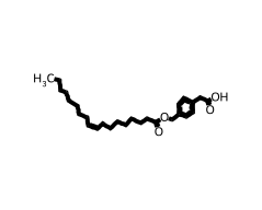 CCCCCCCC/C=C\CCCCCCCC(=O)OCc1ccc(CC(=O)O)cc1